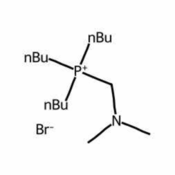 CCCC[P+](CCCC)(CCCC)CN(C)C.[Br-]